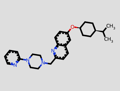 CC(C)[C@H]1CC[C@@H](Oc2ccc3nc(CN4CCN(c5ccccn5)CC4)ccc3c2)CC1